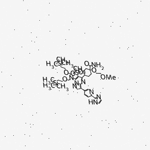 COCCOC1(C(N)=O)CCC(c2nc3c(-c4ccc(-c5ncc[nH]5)nc4)cnn3c(N(COCC[Si](C)(C)C)COCC[Si](C)(C)C)c2S(C)(=O)=O)CC1